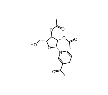 CC(=O)OC1[C@@H](CO)O[C@@H](N2C=CCC(C(C)=O)=C2)[C@H]1OC(C)=O